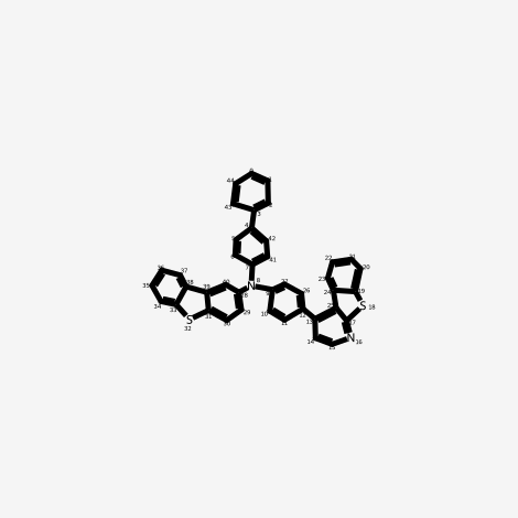 c1ccc(-c2ccc(N(c3ccc(-c4ccnc5sc6ccccc6c45)cc3)c3ccc4sc5ccccc5c4c3)cc2)cc1